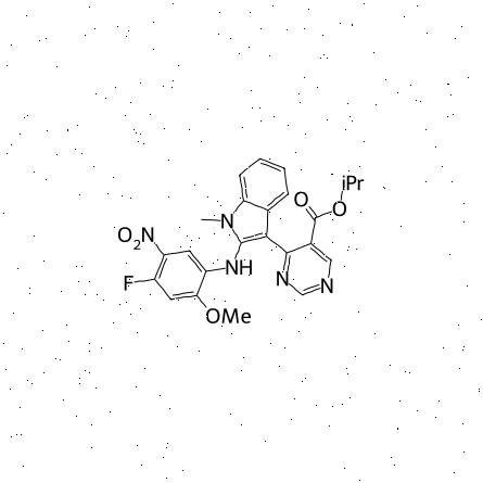 COc1cc(F)c([N+](=O)[O-])cc1Nc1c(-c2ncncc2C(=O)OC(C)C)c2ccccc2n1C